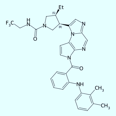 CC[C@@H]1CN(C(=O)NCC(F)(F)F)C[C@@H]1c1cnc2cnc3c(ccn3C(=O)c3ccccc3Nc3cccc(C)c3C)n12